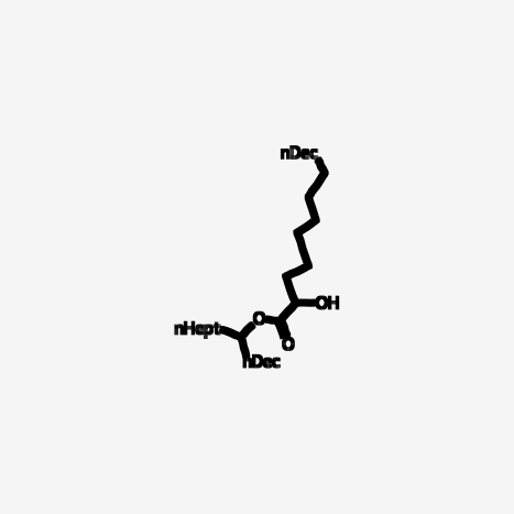 CCCCCCCCCCCCCCCCC(O)C(=O)OC(CCCCCCC)CCCCCCCCCC